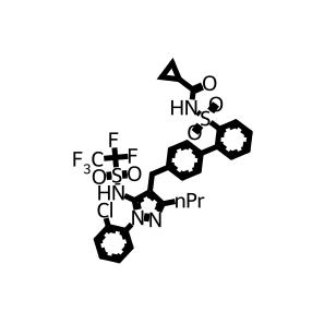 CCCc1nn(-c2ccccc2Cl)c(NS(=O)(=O)C(F)(F)C(F)(F)F)c1Cc1ccc(-c2ccccc2S(=O)(=O)NC(=O)C2CC2)cc1